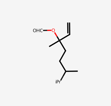 C=CC(C)(CCC(C)C(C)C)OC=O